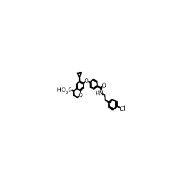 O=C(NCCc1ccc(Cl)cc1)c1ccc(Oc2cc3c(cc2C2CC2)C(C(=O)O)CCO3)cc1